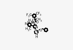 Cc1cc(F)ccc1-c1cc(N2CCNC[C@H]2COCc2ccccc2)ncc1N(C)C(=O)C(C)(C)c1cc(C(F)(F)F)cc(C(F)(F)F)c1